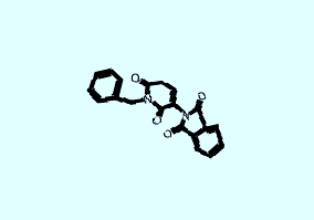 O=C1CC=C(N2C(=O)c3ccccc3C2=O)C(=O)N1Cc1ccccc1